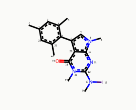 Cc1cc(C)c(-c2cn(C)c3nc(N(C)I)n(C)c(=O)c23)c(C)c1